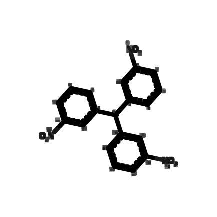 O=[N+]([O-])c1cccc([C](c2cccc([N+](=O)[O-])c2)c2cccc([N+](=O)[O-])c2)c1